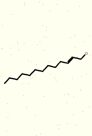 CCCCCCCCCCC=CCCl